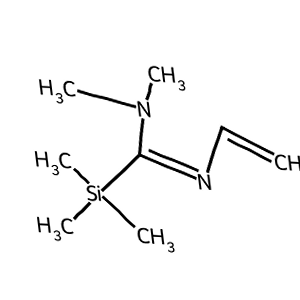 C=C/N=C(\N(C)C)[Si](C)(C)C